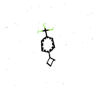 FC(F)(F)c1ccc(C2CCC2)cc1